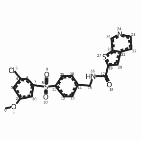 COc1cc(Cl)cc(S(=O)(=O)c2ccc(CNC(=O)c3cc4ccncc4s3)cc2)c1